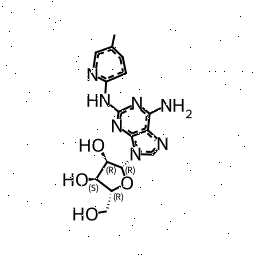 Cc1ccc(Nc2nc(N)c3ncn([C@@H]4O[C@H](CO)[C@@H](O)[C@H]4O)c3n2)nc1